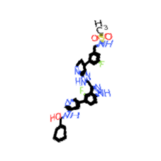 CS(=O)(=O)NCc1cc(F)cc(-c2ccnc3[nH]c(-c4n[nH]c5ccc(-c6cncc(NC(O)C7CCCCC7)c6)c(F)c45)nc23)c1